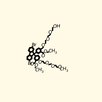 CCOC(=O)c1cc(C2(c3ccc(OCCOCCOCCOC)c(C(=O)OCC)c3)c3cc(Br)ccc3-c3ccc(Br)cc32)ccc1COCCOCCOCCO